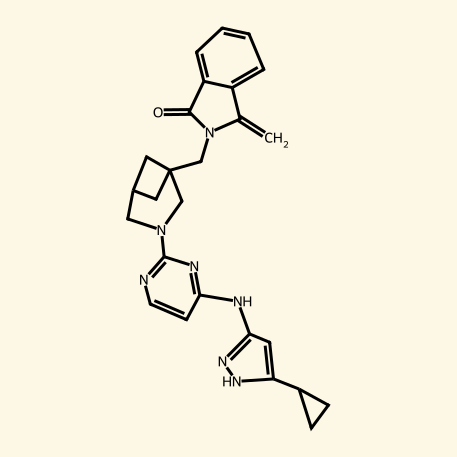 C=C1c2ccccc2C(=O)N1CC12CC(CN(c3nccc(Nc4cc(C5CC5)[nH]n4)n3)C1)C2